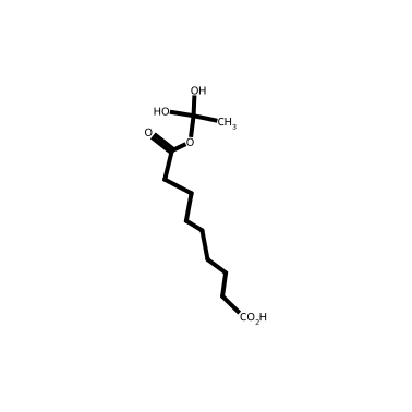 CC(O)(O)OC(=O)CCCCCCCC(=O)O